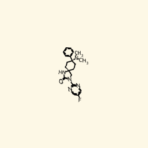 CN(C)[C@]1(c2ccccc2)CC[C@@]2(CC1)CN(c1ncc(F)cn1)C(=O)N2